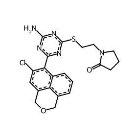 Nc1nc(SCCN2CCCC2=O)nc(-c2c(Cl)cc3c4c(cccc24)COC3)n1